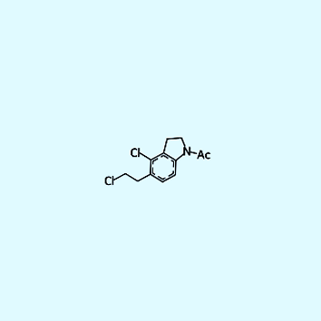 CC(=O)N1CCc2c1ccc(CCCl)c2Cl